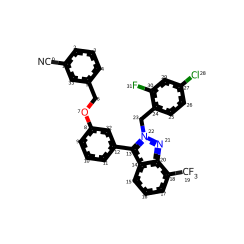 N#Cc1cccc(COc2cccc(-c3c4cccc(C(F)(F)F)c4nn3Cc3ccc(Cl)cc3F)c2)c1